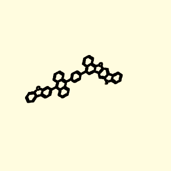 c1ccc2c(c1)oc1cc(-c3c4ccccc4c(-c4ccc(-c5cc6c7cc8sc9ccccc9c8cc7oc6c6ccccc56)cc4)c4ccccc34)ccc12